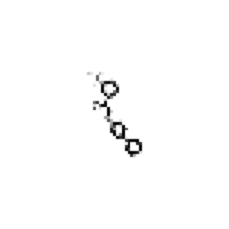 O=C(C=Cc1ccc(-c2ccccc2)cc1)c1cccc(C(F)(F)F)c1